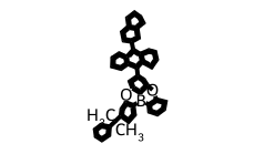 CC(C)(c1ccccc1)c1ccc2c(c1)Oc1cc(-c3c4ccccc4c(-c4ccc5ccccc5c4)c4ccccc34)cc3c1B2c1ccccc1O3